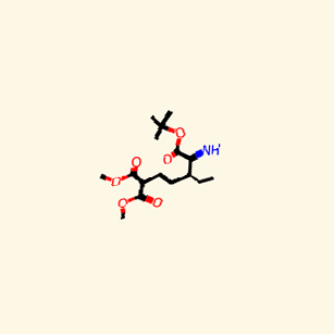 CC[C@@H](CCC(C(=O)OC)C(=O)OC)C(=N)C(=O)OC(C)(C)C